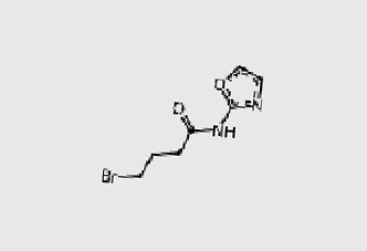 O=C(CCCBr)Nc1ncco1